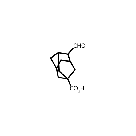 O=CC1C2CC3CC1CC(C(=O)O)(C3)C2